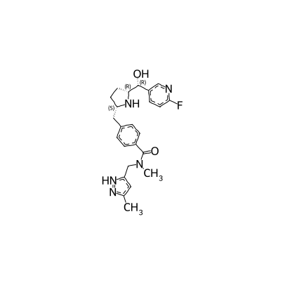 Cc1cc(CN(C)C(=O)c2ccc(C[C@@H]3CC[C@H]([C@H](O)c4ccc(F)nc4)N3)cc2)[nH]n1